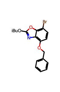 CC(C)COc1nc2c(OCc3ccccc3)ccc(Br)c2o1